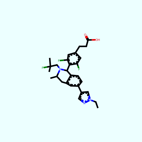 CCn1cc(-c2ccc3c(c2)CC(C)N(CC(C)(C)F)C3c2c(F)cc(CCC(=O)O)cc2F)cn1